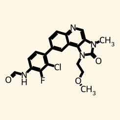 COCCn1c(=O)n(C)c2cnc3ccc(-c4ccc(NC=O)c(F)c4Cl)cc3c21